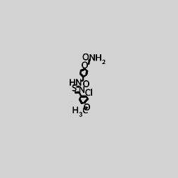 COc1ccc(-c2csc(NC(=O)c3ccc(OCC(N)=O)cc3)n2)c(Cl)c1